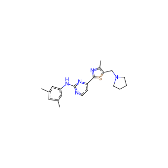 Cc1cc(C)cc(Nc2nccc(-c3nc(C)c(CN4CCCC4)s3)n2)c1